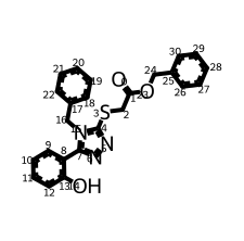 O=C(CSc1nnc(-c2ccccc2O)n1Cc1ccccc1)OCc1ccccc1